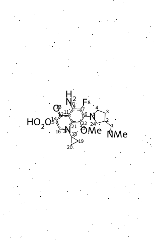 CNCC1CCN(c2c(F)c(N)c3c(=O)c(C(=O)O)cn(C4CC4)c3c2OC)C1